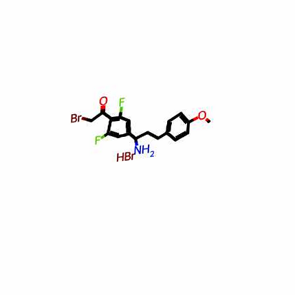 Br.COc1ccc(CCC(N)c2cc(F)c(C(=O)CBr)c(F)c2)cc1